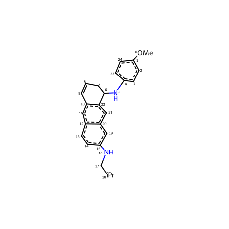 COc1ccc(NC2CC=Cc3cc4ccc(NCC(C)C)cc4cc32)cc1